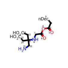 CCCCCCCCCCCC(=O)OC(=O)CNC(CN)(CC(=O)O)CC(=O)O